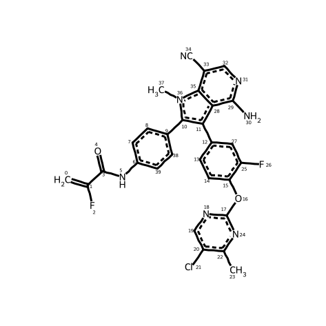 C=C(F)C(=O)Nc1ccc(-c2c(-c3ccc(Oc4ncc(Cl)c(C)n4)c(F)c3)c3c(N)ncc(C#N)c3n2C)cc1